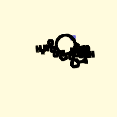 NC(=O)OC1CCCCC/C=C\C2CC2(C(=O)NS(=O)(=O)NC2CC2c2ccccc2)NC(=O)C2CCCN2C1=O